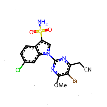 COc1nc(-n2cc(S(N)(=O)=O)c3ccc(Cl)cc32)nc(CC#N)c1Br